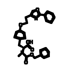 CN(C(=O)OCc1ccccc1)[C@@H](Cc1ccc(OCCc2coc(-c3ccccc3)n2)cc1)C(=O)O